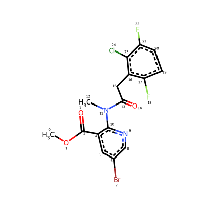 COC(=O)c1cc(Br)cnc1N(C)C(=O)Cc1c(F)ccc(F)c1Cl